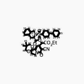 CCOC(=O)C(OC(=O)[C@H]1Cc2ccccc2CN1S(=O)(=O)c1ccc(-c2ccccc2)cc1)c1cc2n(c(=O)c1C#N)CCC21OCC(C)(C)CO1